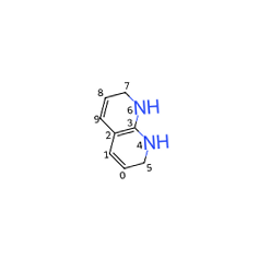 C1=CC2=C(NC1)NCC=C2